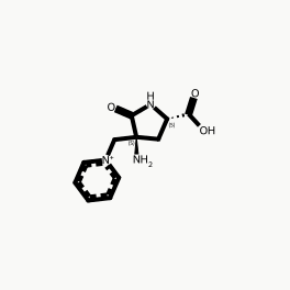 N[C@]1(C[n+]2ccccc2)C[C@@H](C(=O)O)NC1=O